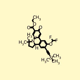 CCOC(=O)c1cn2c(cc1=O)-c1cc(OC(F)F)c(C#C[Si](C)(C)C)cc1[C@H]1CCC(C)(C)N12